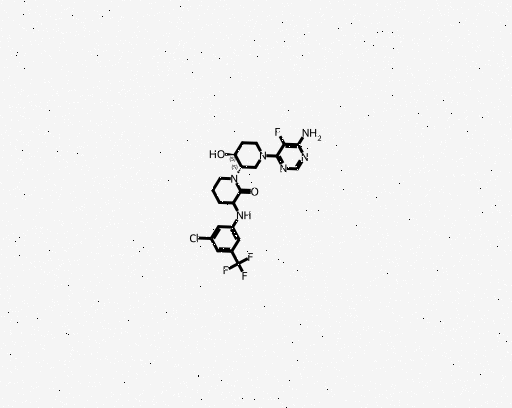 Nc1ncnc(N2CC[C@H](O)[C@@H](N3CCCC(Nc4cc(Cl)cc(C(F)(F)F)c4)C3=O)C2)c1F